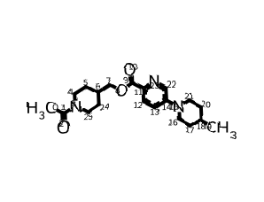 CC(=O)N1CCC(COC(=O)c2ccc(N3CCC(C)CC3)cn2)CC1